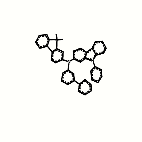 CC1(C)c2ccccc2-c2ccc(N(c3cccc(-c4ccccc4)c3)c3ccc4c5ccccc5n(-c5ccccc5)c4c3)cc21